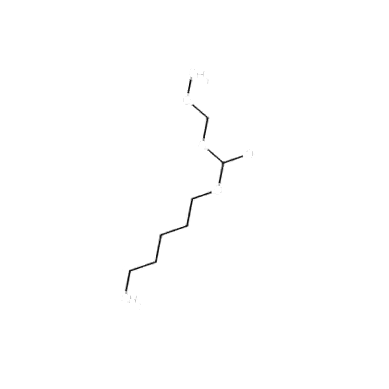 CCCCCCOC([O])OCOC